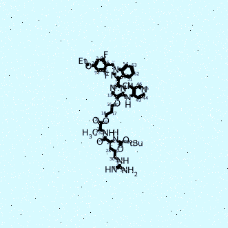 CCOc1cc(F)c(Cn2nc(-c3ncc(OCCCOC(=O)[C@H](C)NC(=O)[C@H](CCCNC(=N)N)NC(=O)OC(C)(C)C)c(Nc4ccncc4Cl)n3)c3ccccc32)c(F)c1